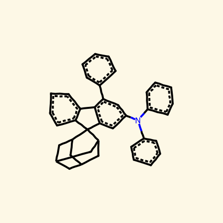 c1ccc(-c2cc(N(c3ccccc3)c3ccccc3)cc3c2-c2ccccc2C32C3CC4CC(C3)CC2C4)cc1